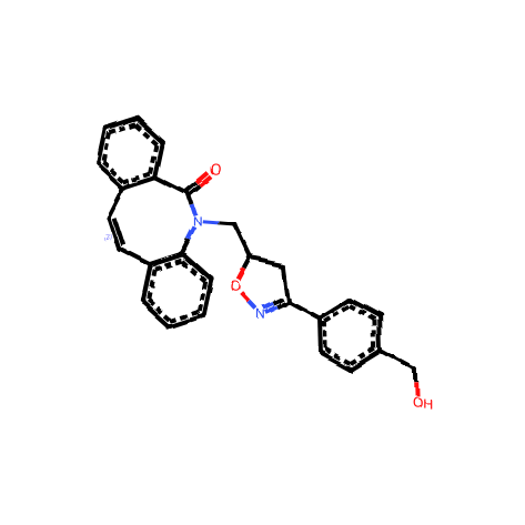 O=C1c2ccccc2/C=C\c2ccccc2N1CC1CC(c2ccc(CO)cc2)=NO1